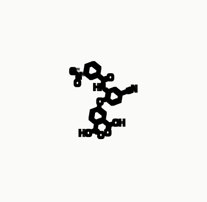 N#Cc1ccc(Oc2ccc(C(=O)O)c(C(=O)O)c2)c(NC(=O)c2cccc([N+](=O)[O-])c2)c1